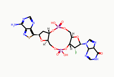 Nc1ncnc2c([C@H]3C[C@@H]4OP(=O)(O)OC[C@H]5O[C@@H](N6C=NC7C(=O)NC=NC76)[C@H](F)[C@@H]5OP(=O)(O)OC[C@H]4O3)snc12